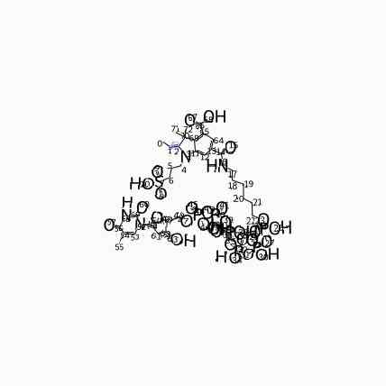 C/C=C1/N(CCCS(=O)(=O)O)c2cc(C(=O)NCCCCCCOP(=O)(O)OP(=O)(O)OP(=O)(O)OP(=O)(O)OP(=O)(O)OP(=O)(O)OC[C@@H]3O[C@H](n4cc(C)c(=O)[nH]c4=O)C[C@@H]3O)cc(C(=O)O)c2C1(C)C